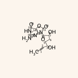 CC#CC(O)C1CC(O)C(n2c(=O)oc3c(=O)[nH]c(N)nc32)O1